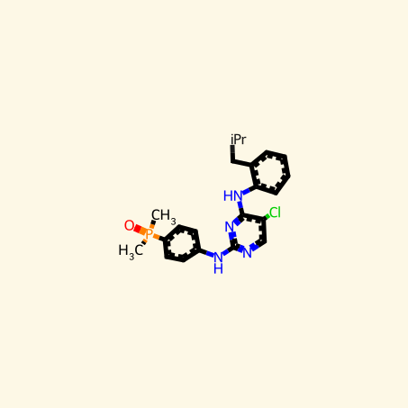 CC(C)Cc1ccccc1Nc1nc(Nc2ccc(P(C)(C)=O)cc2)ncc1Cl